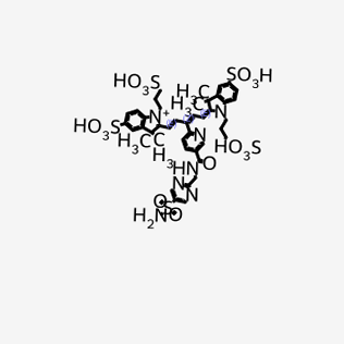 CC1(C)C(/C=C/C(=C/C=C2/N(CCCS(=O)(=O)O)c3ccc(S(=O)(=O)O)cc3C2(C)C)c2ccc(C(=O)NCc3ncc(S(N)(=O)=O)cn3)cn2)=[N+](CCCS(=O)(=O)O)c2ccc(S(=O)(=O)O)cc21